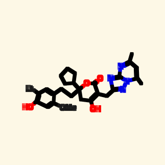 CCc1cc(CCC2(C3CCCC3)CC(O)=C(Cc3nc4nc(C)cc(C)n4n3)C(=O)O2)c(OC)cc1O